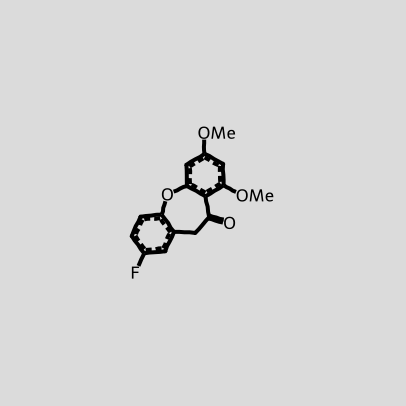 COc1cc(OC)c2c(c1)Oc1ccc(F)cc1CC2=O